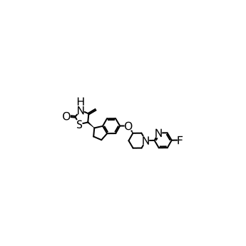 C=C1NC(=O)SC1[C@@H]1CCc2cc(O[C@@H]3CCCN(c4ccc(F)cn4)C3)ccc21